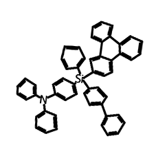 c1ccc(-c2ccc([Si](c3ccccc3)(c3ccc(N(c4ccccc4)c4ccccc4)cc3)c3ccc4c5ccccc5c5ccccc5c4c3)cc2)cc1